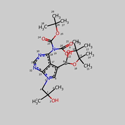 CC(C)(O)Cn1cc(B2OC(C)(C)C(C)(C)O2)c2c(N(C(=O)O)C(=O)OC(C)(C)C)ncnc21